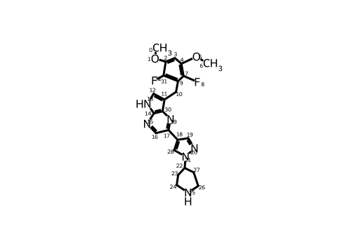 COc1cc(OC)c(F)c(Cc2c[nH]c3ncc(-c4cnn(C5CCNCC5)c4)nc23)c1F